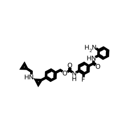 Nc1ccccc1NC(=O)c1ccc(NC(=O)OCc2ccc(C3C[C@@H]3NCC3CC3)cc2)c(F)c1